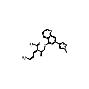 C=C(COc1cc(-c2cnn(C)c2)cc2ncccc12)/C(=C\C=C/N)C(N)=O